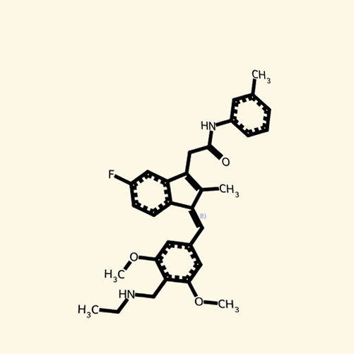 CCNCc1c(OC)cc(/C=C2/C(C)=C(CC(=O)Nc3cccc(C)c3)c3cc(F)ccc32)cc1OC